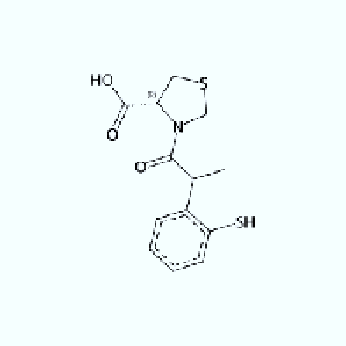 CC(C(=O)N1CSC[C@H]1C(=O)O)c1ccccc1S